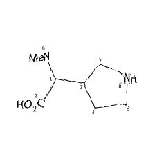 CNC(C(=O)O)C1CCNC1